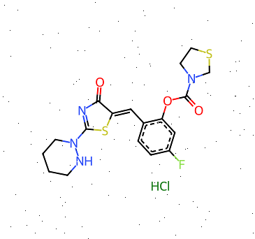 Cl.O=C1N=C(N2CCCCN2)SC1=Cc1ccc(F)cc1OC(=O)N1CCSC1